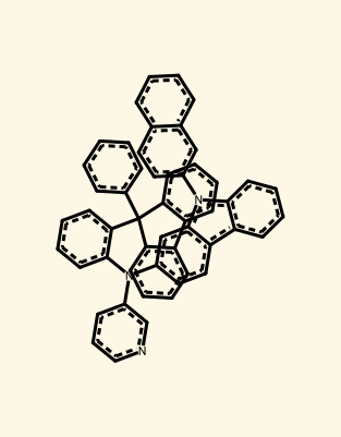 c1ccc(C2(c3ccccc3N(c3cccnc3)c3ccc4c5ccccc5n(-c5ccc6ccccc6c5)c4c3)c3ccccc3-c3ccccc32)cc1